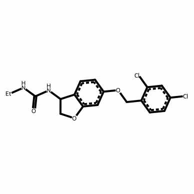 CCNC(=O)NC1COc2cc(OCc3ccc(Cl)cc3Cl)ccc21